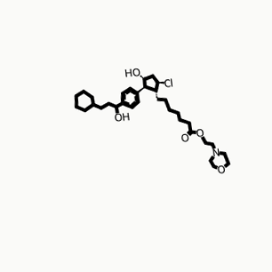 O=C(CCCCCC[C@@H]1[C@@H](c2ccc(C(O)CCC3CCCCC3)cc2)[C@H](O)C[C@H]1Cl)OCCN1CCOCC1